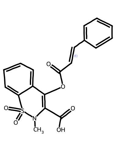 CN1C(C(=O)O)=C(OC(=O)/C=C/c2ccccc2)c2ccccc2S1(=O)=O